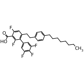 CCCCCCCCc1ccc(CCc2cc(F)c(C(=O)O)c(F)c2-c2cc(F)c(F)c(F)c2)cc1